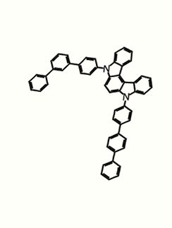 c1ccc(-c2ccc(-c3ccc(-n4c5ccccc5c5c6c7ccccc7n(-c7ccc(-c8cccc(-c9ccccc9)c8)cc7)c6ccc54)cc3)cc2)cc1